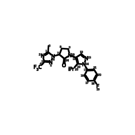 Cc1nc(C(F)(F)F)nn1C1CCN(c2cnn(-c3ccc(F)cc3)c2C(C)C)C1=O